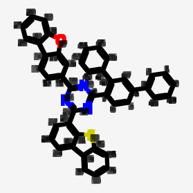 c1ccc(-c2ccc(-c3nc(-c4ccc5c(c4)oc4ccccc45)nc(-c4cccc5c4sc4ccccc45)n3)c(-c3ccccc3)c2)cc1